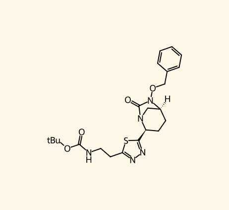 CC(C)(C)OC(=O)NCCc1nnc([C@@H]2CC[C@H]3CN2C(=O)N3OCc2ccccc2)s1